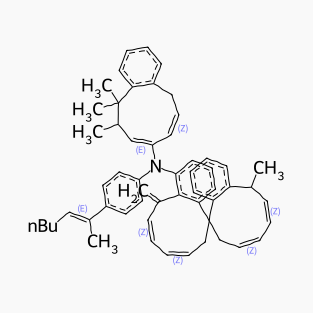 C=C1/C=C\C=C/CC2(C/C=C\C=C/C(C)c3ccccc32)c2cccc(N(C3=C/C(C)C(C)(C)c4ccccc4C/C=C\3)c3ccc(/C(C)=C/CCCC)cc3)c21